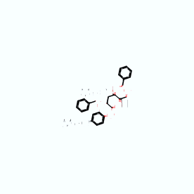 COc1ccc(O[C@@H]2O[C@H]3COC(c4ccccc4)O[C@H]3[C@H](OC)[C@H]2OCc2ccccc2)cc1